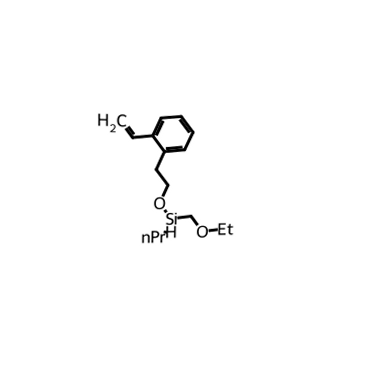 C=Cc1ccccc1CCO[SiH](CCC)COCC